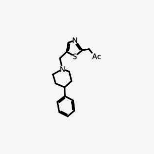 CC(=O)Cc1ncc(CN2CCC(c3ccccc3)CC2)s1